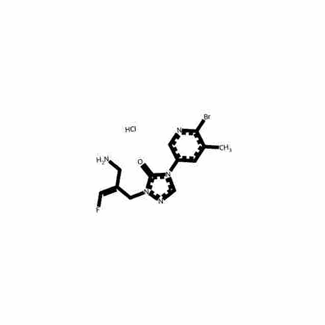 Cc1cc(-n2cnn(C/C(=C\F)CN)c2=O)cnc1Br.Cl